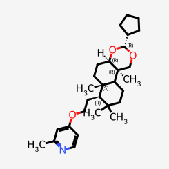 Cc1cc(OCC[C@@H]2C(C)(C)CCC3[C@]4(C)CO[C@@H](C5CCCC5)O[C@@H]4CC[C@]32C)ccn1